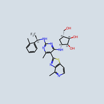 Cc1ccccc1[C@H](Nc1nc(C)c(-c2nc3c(C)nccc3s2)c(N[C@@H]2C[C@H](CO)[C@@H](O)[C@H]2O)n1)C(F)(F)F